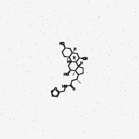 C[C@H](CC(=O)NCc1ccco1)C1CC[C@H]2[C@@H]3[C@H](O)C[C@@H]4C[C@H](O)CC[C@]4(C)[C@H]3C[C@H](O)[C@]12C